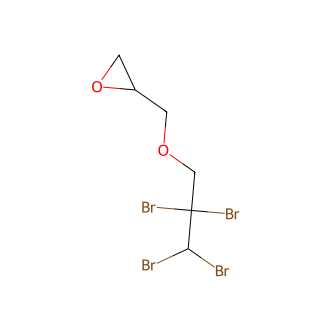 BrC(Br)C(Br)(Br)COCC1CO1